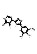 O=C1C(Cl)=NC=CC1c1noc(-c2cc(O)c(O)c([N+](=O)[O-])c2)n1